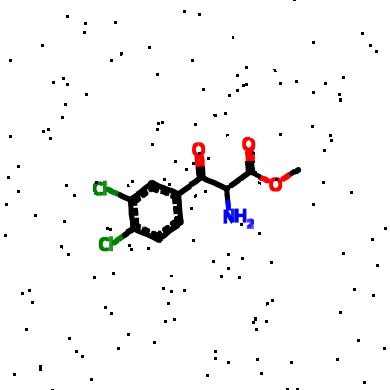 COC(=O)C(N)C(=O)c1ccc(Cl)c(Cl)c1